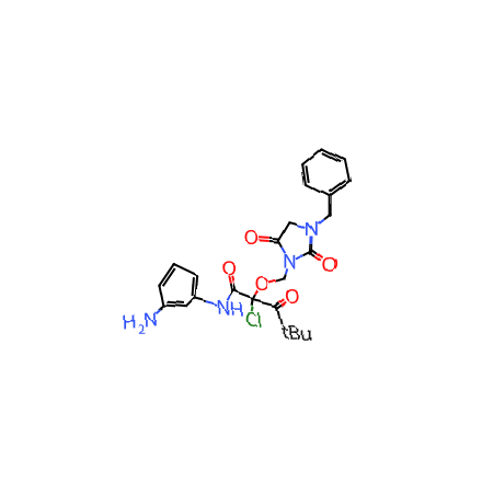 CC(C)(C)C(=O)C(Cl)(OCN1C(=O)CN(Cc2ccccc2)C1=O)C(=O)Nc1cccc(N)c1